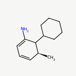 C[C@H]1C=CC=C(N)C1C1CCCCC1